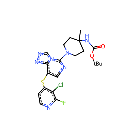 CC1(NC(=O)OC(C)(C)C)CCN(c2ncc(Sc3ccnc(F)c3Cl)c3nncn23)CC1